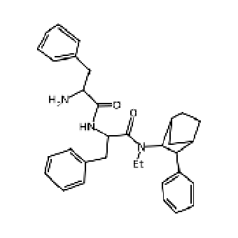 CCN(C(=O)C(Cc1ccccc1)NC(=O)C(N)Cc1ccccc1)C1C2CCC(C2)C1c1ccccc1